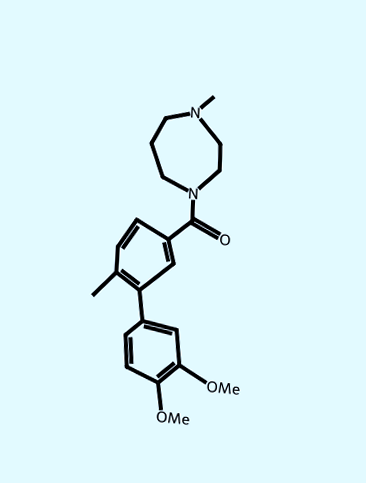 COc1ccc(-c2cc(C(=O)N3CCCN(C)CC3)ccc2C)cc1OC